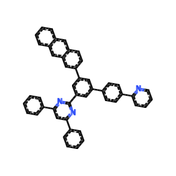 c1ccc(-c2cc(-c3ccccc3)nc(-c3cc(-c4ccc(-c5ccccn5)cc4)cc(-c4ccc5cc6ccccc6cc5c4)c3)n2)cc1